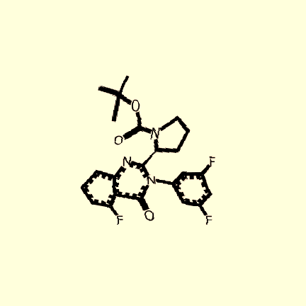 CC(C)(C)OC(=O)N1CCC[C@H]1c1nc2cccc(F)c2c(=O)n1-c1cc(F)cc(F)c1